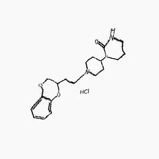 Cl.O=C1NCCCN1C1CCN(CCC2COc3ccccc3O2)CC1